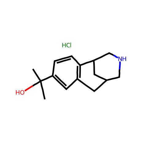 CC(C)(O)c1ccc2c(c1)CC1CNCC2C1.Cl